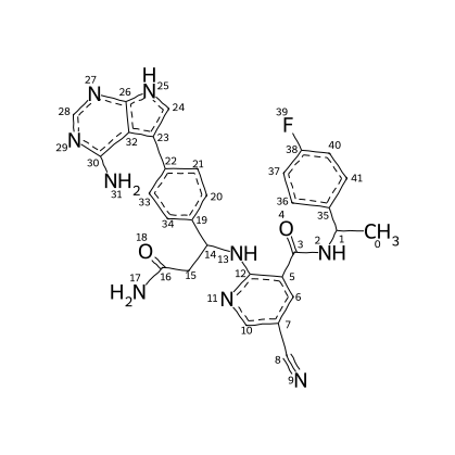 CC(NC(=O)c1cc(C#N)cnc1NC(CC(N)=O)c1ccc(-c2c[nH]c3ncnc(N)c23)cc1)c1ccc(F)cc1